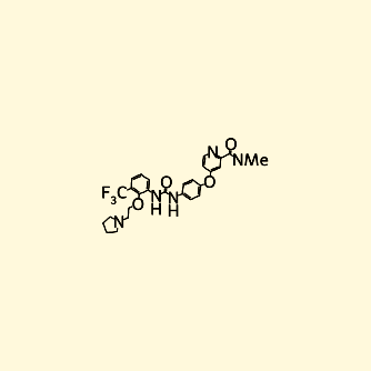 CNC(=O)c1cc(Oc2ccc(NC(=O)Nc3cccc(C(F)(F)F)c3OCCN3CCCC3)cc2)ccn1